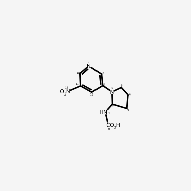 O=C(O)NC1CCCN1c1cncc([N+](=O)[O-])c1